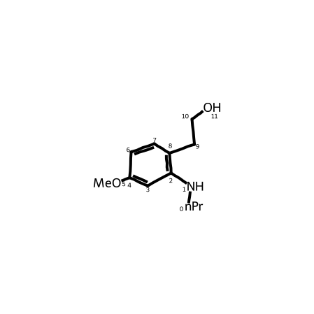 CCCNc1cc(OC)ccc1CCO